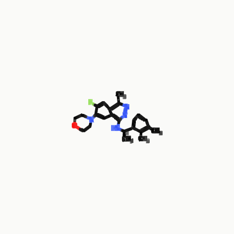 Cc1cccc([C@@H](C)Nc2nnc(C)c3cc(F)c(N4CCOCC4)cc23)c1C